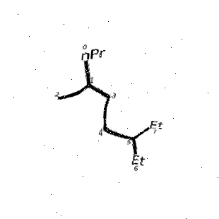 [CH2]CCC(C)CCC(CC)CC